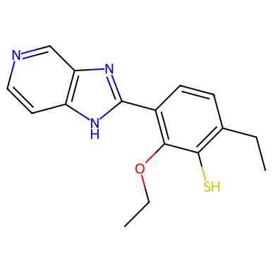 CCOc1c(-c2nc3cnccc3[nH]2)ccc(CC)c1S